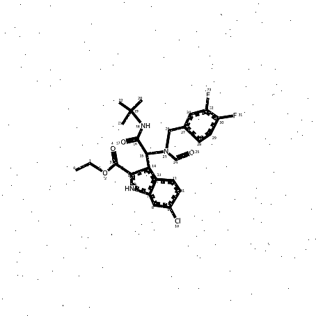 CCOC(=O)c1[nH]c2cc(Cl)ccc2c1C(C(=O)NC(C)(C)C)N(C=O)Cc1ccc(F)c(F)c1